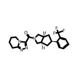 O=C(c1nnc2n1CCCC2)N1C[C@H]2C[C@@H](c3ccccc3C(F)(F)F)C[C@H]2C1